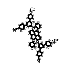 [C-]#[N+]c1ccc(-c2cc(-c3ccc(C#N)cc3)cc(N(c3ccccc3F)c3ccc4ccc5c(N(c6cc(-c7ccc(C#N)cc7)cc(-c7ccc([N+]#[C-])cc7)c6)c6ccccc6F)ccc6ccc3c4c65)c2)cc1